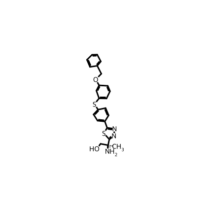 C[C@](N)(CO)c1nnc(-c2ccc(Sc3cccc(OCc4ccccc4)c3)cc2)s1